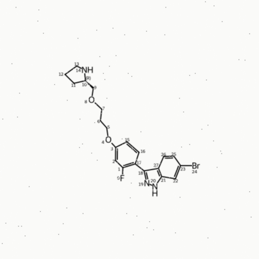 Fc1cc(OCCCOC[C@H]2CCCN2)ccc1-c1n[nH]c2cc(Br)ccc12